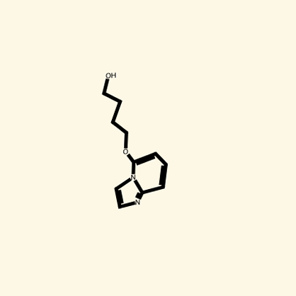 OCCCCOc1cccc2nccn12